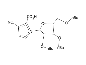 CCCCOCC1OC(n2ccc(C#N)c2C(=O)O)C(OCCCC)C1OCCCC